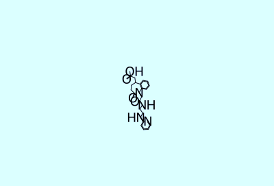 O=C(O)CC1CCC(=O)N(CC(=O)NCCNc2ccccn2)c2ccccc21